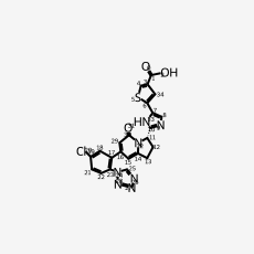 O=C(O)c1csc(-c2cnc([C@@H]3CCc4cc(-c5cc(Cl)ccc5-n5cnnn5)cc(=O)n43)[nH]2)c1